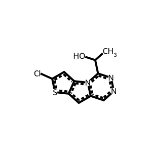 CC(O)c1nncc2cc3sc(Cl)cc3n12